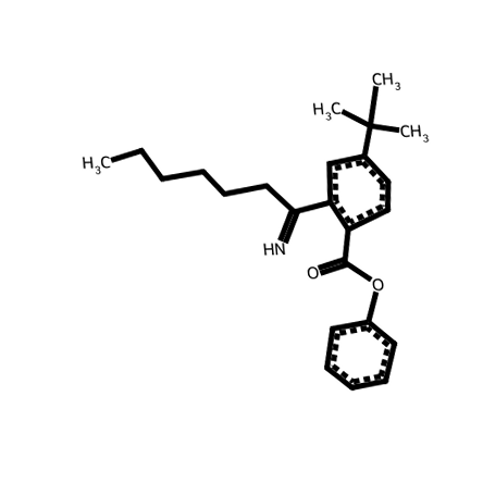 CCCCCCC(=N)c1cc(C(C)(C)C)ccc1C(=O)Oc1ccccc1